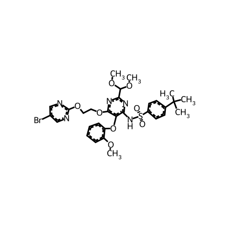 COc1ccccc1Oc1c(NS(=O)(=O)c2ccc(C(C)(C)C)cc2)nc(C(OC)OC)nc1OCCOc1ncc(Br)cn1